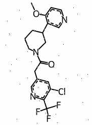 COc1ccncc1C1CCCN(C(=O)Cc2cnc(C(F)(F)F)c(Cl)c2)C1